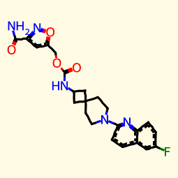 NC(=O)c1cc(COC(=O)NC2CC3(CCN(c4ccc5cc(F)ccc5n4)CC3)C2)on1